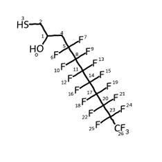 OC(CS)CC(F)(F)C(F)(F)C(F)(F)C(F)(F)C(F)(F)C(F)(F)C(F)(F)C(F)(F)F